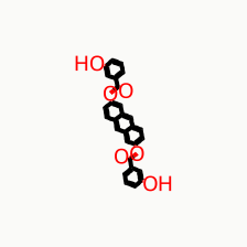 O=C(Oc1ccc2cc3cc(OC(=O)c4cccc(O)c4)ccc3cc2c1)c1cccc(O)c1